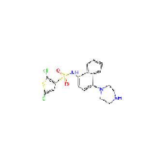 O=S(=O)(Nc1ccc(N2CCNCC2)c2ccccc12)c1cc(Cl)sc1Cl